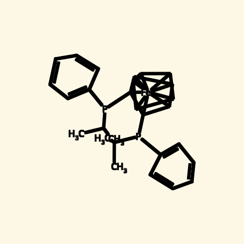 CC(C)P(c1ccccc1)[C]12[CH]3[CH]4[CH]5[C]1(P(c1ccccc1)C(C)C)[Fe]43521678[CH]2[CH]1[CH]6[CH]7[CH]28